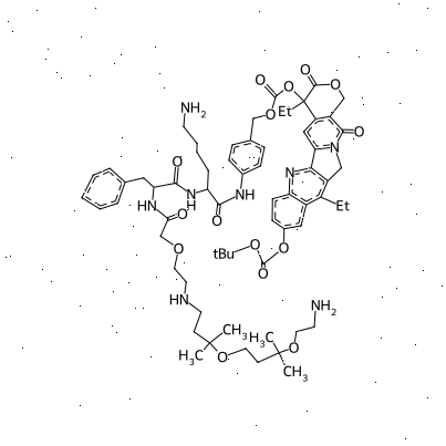 CCc1c2c(nc3ccc(OC(=O)OC(C)(C)C)cc13)-c1cc3c(c(=O)n1C2)COC(=O)C3(CC)OC(=O)OCc1ccc(NC(=O)C(CCCCN)NC(=O)C(Cc2ccccc2)NC(=O)COCCNCCC(C)(C)OCCC(C)(C)OCCN)cc1